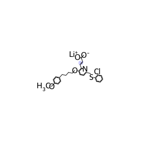 COc1ccc(CCCCOc2ccc(CSc3ccccc3Cl)nc2/C=C/C(=O)[O-])cc1.[Li+]